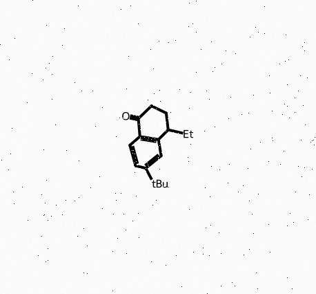 CCC1CCC(=O)c2ccc(C(C)(C)C)cc21